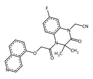 CC1(C)C(=O)N(CC#N)c2cc(F)ccc2N1C(=O)COc1cccc2cnccc12